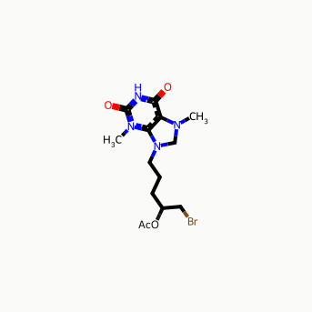 CC(=O)OC(CBr)CCCN1CN(C)c2c1n(C)c(=O)[nH]c2=O